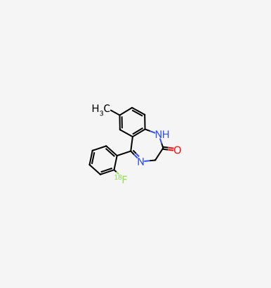 Cc1ccc2c(c1)C(c1ccccc1[18F])=NCC(=O)N2